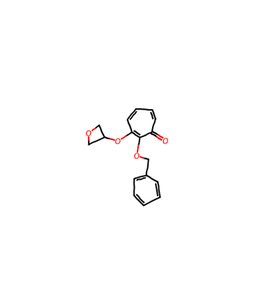 O=c1ccccc(OC2COC2)c1OCc1ccccc1